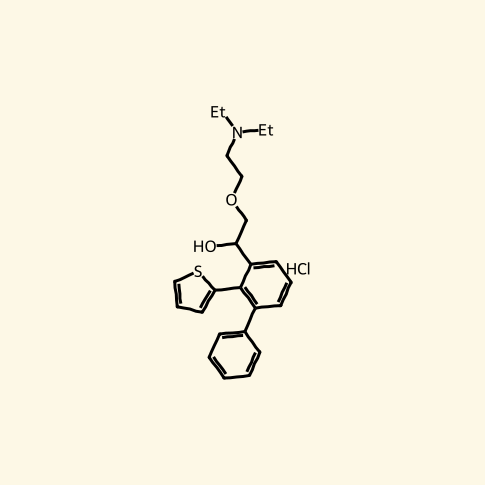 CCN(CC)CCOCC(O)c1cccc(-c2ccccc2)c1-c1cccs1.Cl